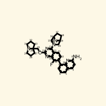 Nc1ccc2cccc(-c3ccc4c(N5CC6CCC(C5)N6)nc(OCC56CCCN5CCC6)nc4c3F)c2n1